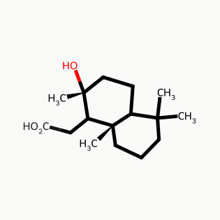 CC1(C)CCC[C@@]2(C)C1CC[C@@](C)(O)C2CC(=O)O